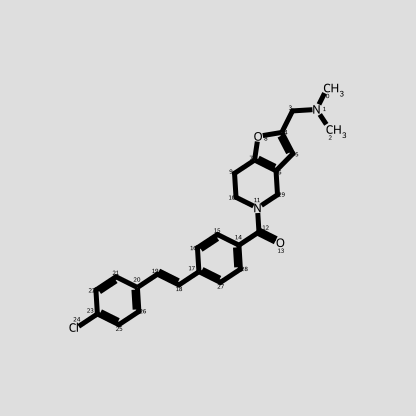 CN(C)Cc1cc2c(o1)CCN(C(=O)c1ccc(C=Cc3ccc(Cl)cc3)cc1)C2